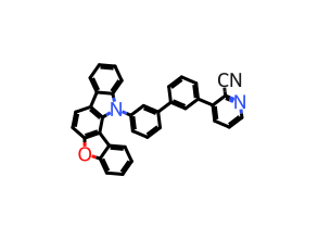 N#Cc1ncccc1-c1cccc(-c2cccc(-n3c4ccccc4c4ccc5oc6ccccc6c5c43)c2)c1